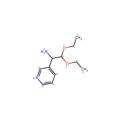 CCOC(OCC)C(N)c1cccnc1